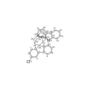 Clc1ccc2c(c1)-c1cccc(-n3c4ccccc4c4ccccc43)c1C21C2CC3CC(C2)CC1C3